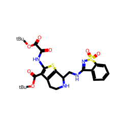 CC(C)(C)OC(=O)C(=O)Nc1sc2c(c1C(=O)OC(C)(C)C)CCNC2CNC1=NS(=O)(=O)c2ccccc21